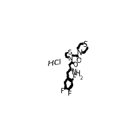 Cl.N[C@@H](CC(=O)N1CCSC1C(=O)N1CCSCC1)Cc1cc(F)c(F)cc1F